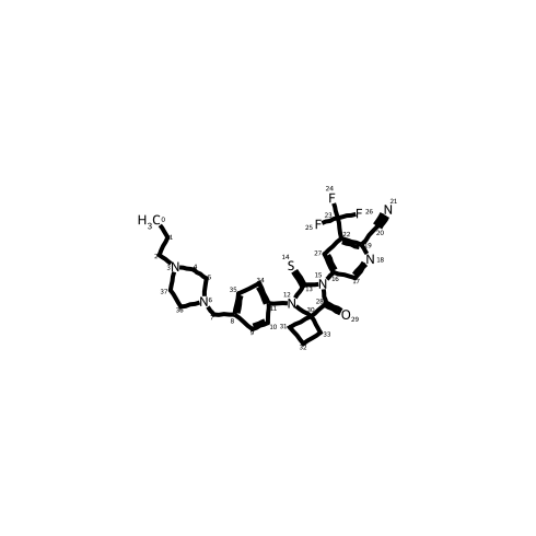 CCCN1CCN(Cc2ccc(N3C(=S)N(c4cnc(C#N)c(C(F)(F)F)c4)C(=O)C34CCC4)cc2)CC1